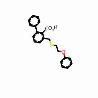 O=C(O)c1c(CSCCOc2ccccc2)cccc1-c1ccccc1